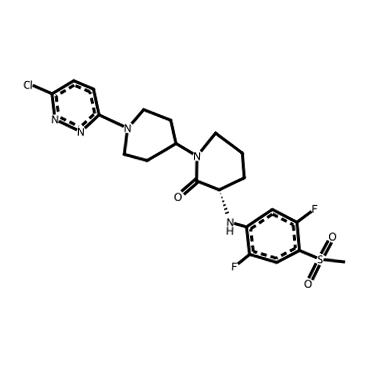 CS(=O)(=O)c1cc(F)c(N[C@H]2CCCN(C3CCN(c4ccc(Cl)nn4)CC3)C2=O)cc1F